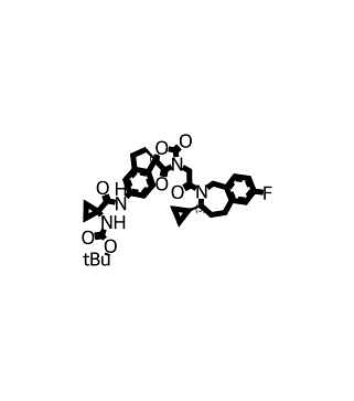 CC(C)(C)OC(=O)NC1(C(=O)Nc2ccc3c(c2)CC[C@]32OC(=O)N(CC(=O)N3Cc4ccc(F)cc4CC[C@H]3C3CC3)C2=O)CC1